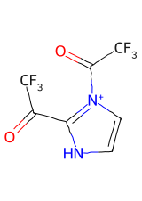 O=C(c1[nH]cc[n+]1C(=O)C(F)(F)F)C(F)(F)F